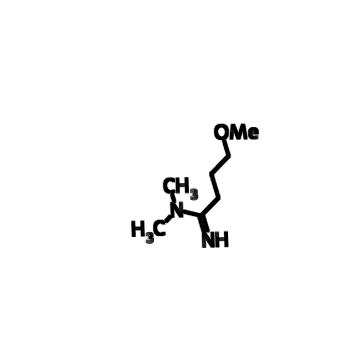 COCCCC(=N)N(C)C